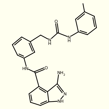 Cc1cccc(NC(=O)NCc2cccc(NC(=O)c3cccc4[nH]nc(N)c34)c2)c1